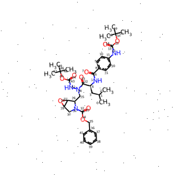 CC(C)C[C@H](NC(=O)c1ccc(NC(=O)OC(C)(C)C)cc1)C(=O)N(CC1C2OC2CN1C(=O)OCc1ccccc1)NC(=O)OC(C)(C)C